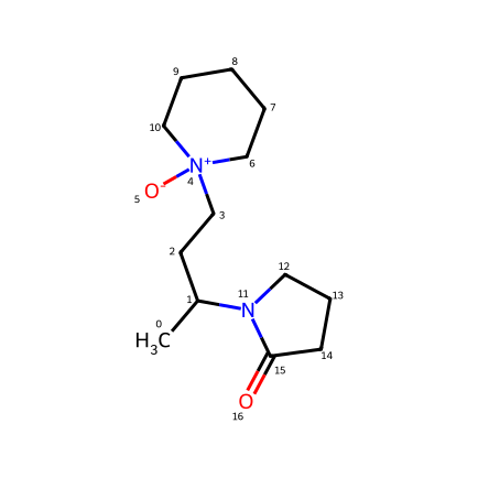 CC(CC[N+]1([O-])CCCCC1)N1CCCC1=O